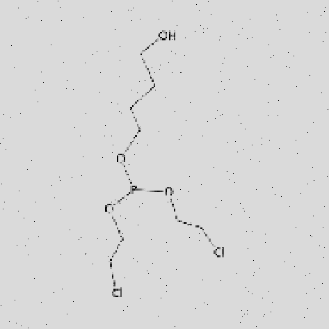 OCCCCOP(OCCCl)OCCCl